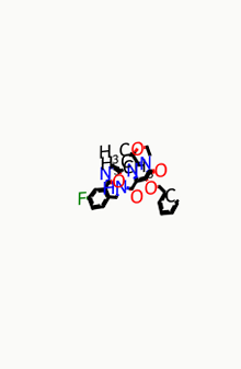 Cc1cnc(-c2cc(F)ccc2CNC(=O)c2nc3n(c(=O)c2OCc2ccccc2)CCOC3(C)C)o1